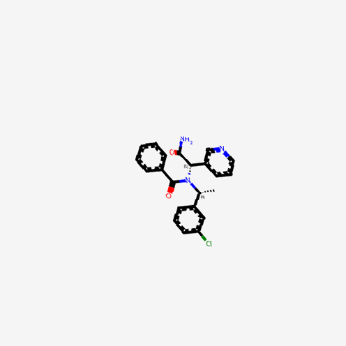 C[C@H](c1cccc(Cl)c1)N(C(=O)c1ccccc1)[C@H](C(N)=O)c1cccnc1